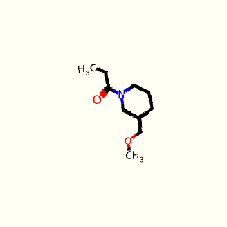 CCC(=O)N1CCCC(COC)C1